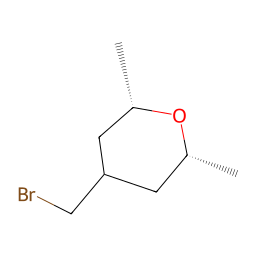 C[C@@H]1CC(CBr)C[C@H](C)O1